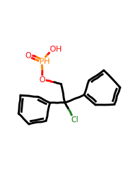 O=[PH](O)OCC(Cl)(c1ccccc1)c1ccccc1